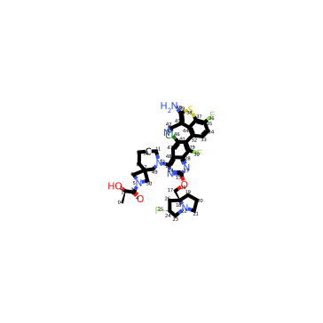 C[C@@H](O)C(=O)N1CC2(CCCCN(c3nc(OC[C@@]45CCCN4C[C@H](F)C5)nc4c(F)c(-c5ccc(F)c6sc(N)c(C#N)c56)c(Cl)cc34)C2)C1